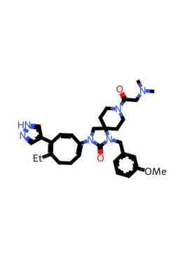 CC/C1=C(c2cn[nH]c2)/C=C\C(N2CC3(CCN(C(=O)CN(C)C)CC3)N(Cc3cccc(OC)c3)C2=O)=C/CC1